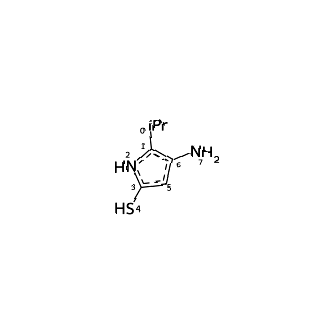 CC(C)c1[nH]c(S)cc1N